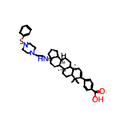 CC1(C)C(c2ccc(C(=O)O)cc2)=CC[C@@]2(C)C1CC[C@@]1(C)C3CC[C@@]4(NCCN5CCN(Sc6ccccc6)CC5)CCCC4[C@H]3CCC12